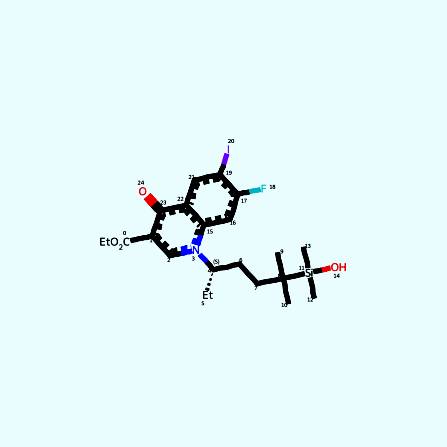 CCOC(=O)c1cn([C@@H](CC)CCC(C)(C)[Si](C)(C)O)c2cc(F)c(I)cc2c1=O